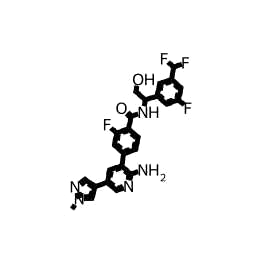 Cn1cc(-c2cnc(N)c(-c3ccc(C(=O)NC(CO)c4cc(F)cc(C(F)F)c4)c(F)c3)c2)cn1